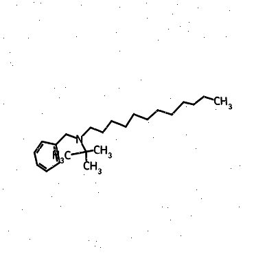 CCCCCCCCCCCCN(Cc1ccccc1)C(C)(C)C